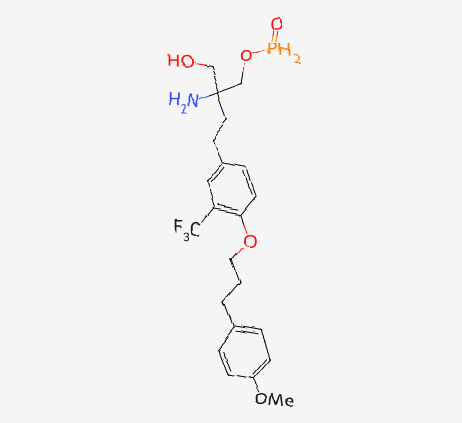 COc1ccc(CCCOc2ccc(CCC(N)(CO)CO[PH2]=O)cc2C(F)(F)F)cc1